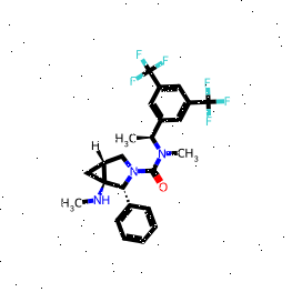 CN[C@@]12C[C@@H]1CN(C(=O)N(C)[C@@H](C)c1cc(C(F)(F)F)cc(C(F)(F)F)c1)[C@@H]2c1ccccc1